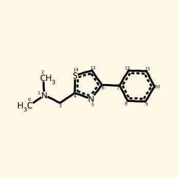 CN(C)Cc1nc(-c2ccccc2)cs1